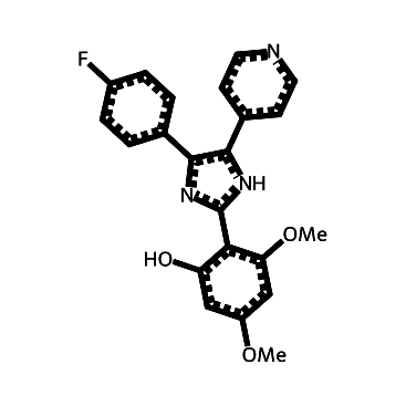 COc1cc(O)c(-c2nc(-c3ccc(F)cc3)c(-c3ccncc3)[nH]2)c(OC)c1